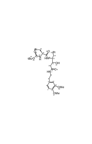 COc1ccc(CCNC(=O)CC(O)C(CC(C)C)NC(=O)[C@H](CC(C)C)NC(=O)OC(C)(C)C)cc1OC